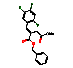 COC(=O)CC(=Cc1cc(F)c(F)cc1F)C(=O)OCc1ccccc1